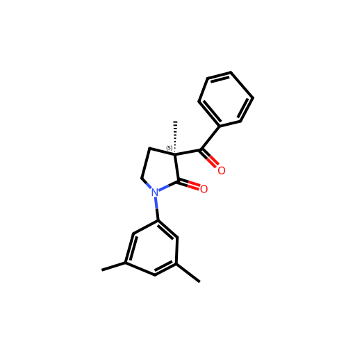 Cc1cc(C)cc(N2CC[C@@](C)(C(=O)c3ccccc3)C2=O)c1